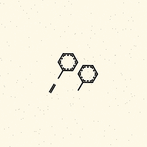 C=C.Cc1ccccc1.Cc1ccccc1